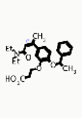 CCN(CC)C(=O)/C=C(/C)c1ccc(OC(C)c2ccccc2)c(OCCC(=O)O)c1